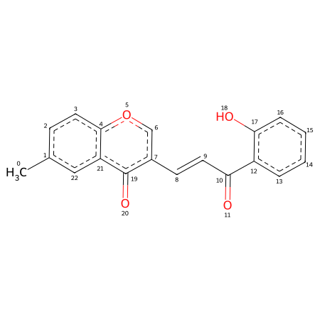 Cc1ccc2occ(/C=C/C(=O)c3ccccc3O)c(=O)c2c1